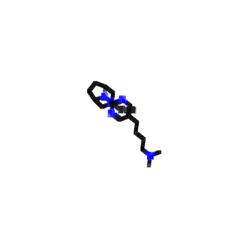 CCCC(C)N1CC2CCC(C1)N2c1ncc(CCCCN(C)C)cn1